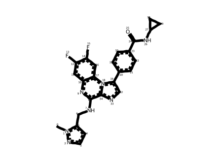 Cn1nccc1CNc1nc2cc(F)c(F)cc2n2c(-c3ccc(C(=O)NC4CC4)cc3)cnc12